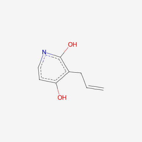 C=CCc1c(O)ccnc1O